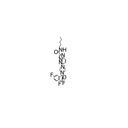 CCCCCNC(=O)c1cn2nc(N3CCN(C(=O)c4cc(F)ccc4C(F)(F)F)CC3)ccc2n1